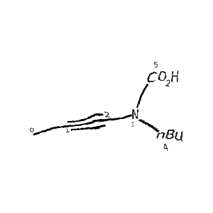 CC#CN(CCCC)C(=O)O